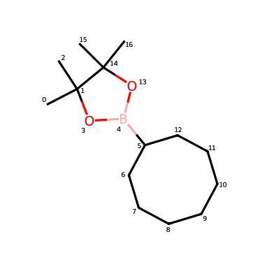 CC1(C)OB(C2CCCCCCC2)OC1(C)C